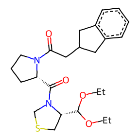 CCOC(OCC)[C@@H]1CSCN1C(=O)[C@@H]1CCCN1C(=O)CC1Cc2ccccc2C1